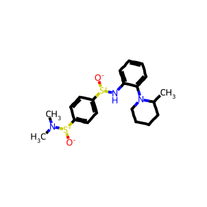 CC1CCCCN1c1ccccc1N[S+]([O-])c1ccc([S+]([O-])N(C)C)cc1